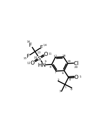 CC(C)(C)C(=O)c1cc(NS(=O)(=O)C(F)(F)F)ccc1Cl